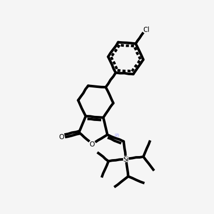 CC(C)[Si](/C=C1\OC(=O)C2=C1CC(c1ccc(Cl)cc1)CC2)(C(C)C)C(C)C